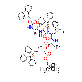 C/C=C(\NC(=O)[C@@H](CSC(c1ccccc1)(c1ccccc1)c1ccccc1)NC(=O)[C@@H](NC(=O)OCC1c2ccccc2-c2ccccc21)C(C)C)C(=O)N[C@H](C(=O)O[C@H](/C=C\CCSC(c1ccccc1)(c1ccccc1)c1ccccc1)CC(=O)OCC[Si](C)(C)C)C(C)C